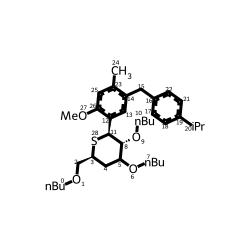 CCCCOC[C@@H]1CC(OCCCC)[C@@H](OCCCC)[C@H](c2cc(Cc3ccc(C(C)C)cc3)c(C)cc2OC)S1